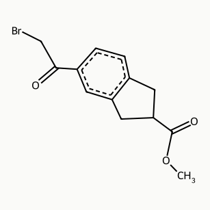 COC(=O)C1Cc2ccc(C(=O)CBr)cc2C1